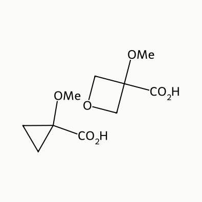 COC1(C(=O)O)CC1.COC1(C(=O)O)COC1